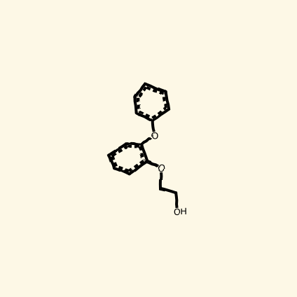 OCCOc1ccccc1Oc1ccccc1